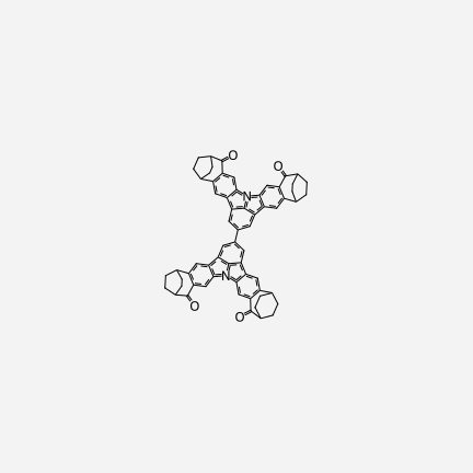 O=C1c2cc3c(cc2C2CCC1CC2)c1cc(-c2cc4c5cc6c(cc5n5c7cc8c(cc7c(c2)c45)C2CCC(CC2)C8=O)C(=O)C2CCC6CC2)cc2c4cc5c(cc4n3c12)C(=O)C1CCC5CC1